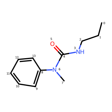 CCCNC(=O)N(C)c1ccccc1